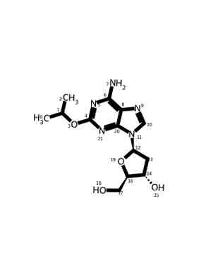 CC(C)Oc1nc(N)c2ncn([C@H]3C[C@H](O)[C@@H](CO)O3)c2n1